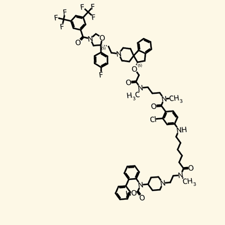 CN(CCN1CCC(N(C(=O)O)c2ccccc2-c2ccccc2)CC1)C(=O)CCCCCNc1ccc(C(=O)N(C)CCCN(C)C(=O)CO[C@H]2Cc3ccccc3C23CCN(CC[C@]2(c4ccc(F)cc4)CN(C(=O)c4cc(C(F)(F)F)cc(C(F)(F)F)c4)CO2)CC3)c(Cl)c1